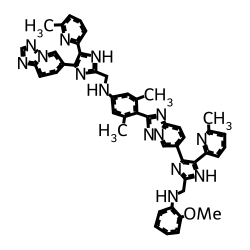 COc1ccccc1NCc1nc(-c2ccc3nc(-c4c(C)cc(NCc5nc(-c6ccc7ncnn7c6)c(-c6cccc(C)n6)[nH]5)cc4C)nn3c2)c(-c2cccc(C)n2)[nH]1